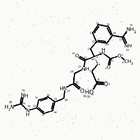 COC(=O)N[C@](CCC(=O)O)(Cc1cccc(C(=N)N)c1)C(=O)NCC(=O)NCc1ccc(NC(=N)N)cc1